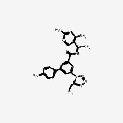 CCc1nnnn1-c1cc(C(=O)NC(C)c2cnc(C)nc2N)cc(-c2ccc(C)cc2)c1